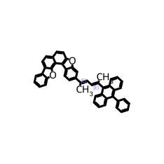 C/C(=C\C=C(/C)c1c2ccccc2c(-c2ccccc2)c2ccccc12)c1ccc2c(c1)oc1ccc3ccc4c5ccccc5oc4c3c12